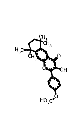 CC1(C)CCC(C)(C)c2cc3c(=O)c(O)c(-c4ccc(OC(=O)O)cc4)oc3cc21